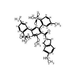 CNc1ccc2c(c1)CN(C(=O)c1c(-c3cc(C)ccc3S(=O)(=O)O)cc(-c3cc(C)ccc3S(=O)(=O)O)c(C)c1OC)C2